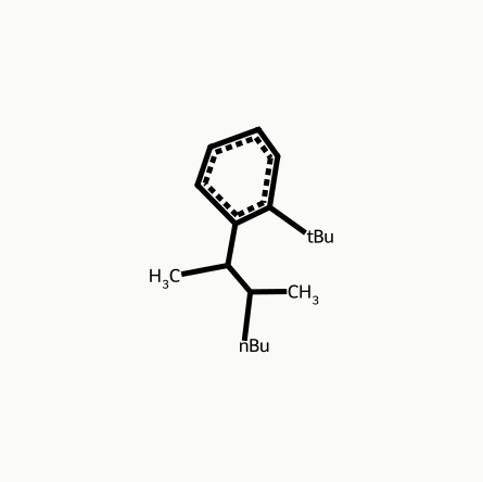 CCCCC(C)C(C)c1ccccc1C(C)(C)C